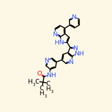 CC(C)(C)C(=O)Nc1cncc(-c2cnc3[nH]nc(-c4cc5c(-c6cccnc6)ccnc5[nH]4)c3c2)c1